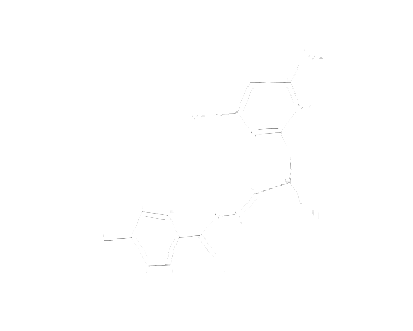 COc1cc(OC)nc(SC(/C=N/NC(=O)c2ccc(C)cc2)C(C)(C)C)n1